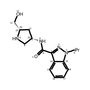 CC(C)n1nc(C(=O)N[C@@H]2CN[C@H](CO)C2)c2ccccc21